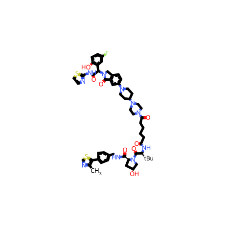 Cc1ncsc1-c1ccc(CNC(=O)[C@@H]2C[C@@H](O)CN2C(=O)[C@@H](NC(=O)CCCCC(=O)N2CCN(C3CCN(c4ccc5c(c4)C(=O)N(C(C(=O)Nc4nccs4)c4cc(F)ccc4O)C5)CC3)CC2)C(C)(C)C)cc1